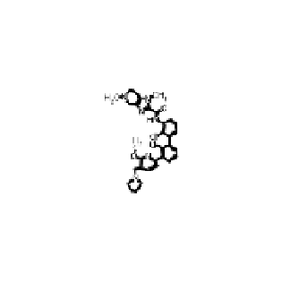 COc1nc(-c2cccc(-c3cccc(NC(=O)c4nc5c(n4C)CCN(C)C5)c3Cl)c2Cl)ccc1CN1CCCC1